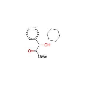 C1CCCCC1.COC(=O)C(O)c1ccccc1